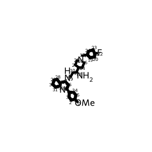 COc1ccc(-c2cc(NCCC(N)C3CCN(Cc4ccc(F)cc4)CC3)c3ccccc3n2)cc1